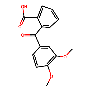 COc1ccc(C(=O)c2ccccc2C(=O)O)cc1OC